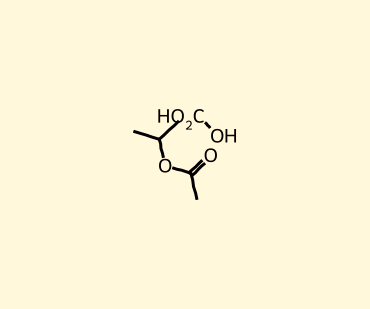 CC(=O)OC(C)C.O=C(O)O